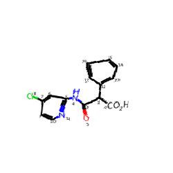 O=C(O)C(C(=O)Nc1cc(Cl)ccn1)c1ccccc1